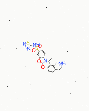 CC(c1cccc2c1CNCC2)n1c(=O)oc2cc(S(=O)(=O)Nc3ncns3)ccc21